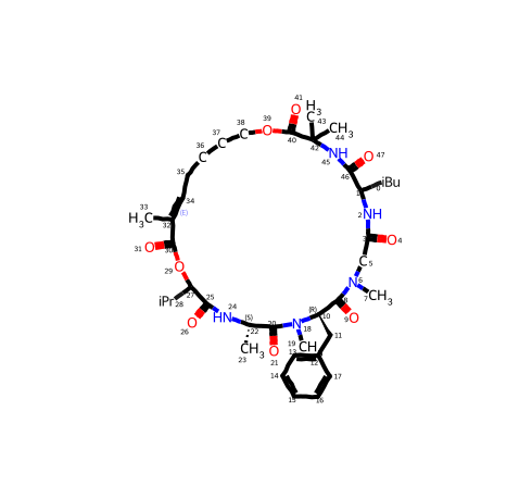 CCC(C)C1NC(=O)CN(C)C(=O)[C@@H](Cc2ccccc2)N(C)C(=O)[C@H](C)NC(=O)C(C(C)C)OC(=O)/C(C)=C/CCCCOC(=O)C(C)(C)NC1=O